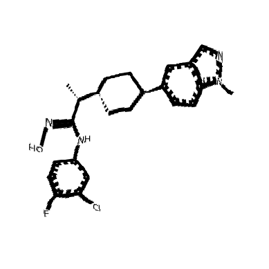 C[C@@H](/C(=N/O)Nc1ccc(F)c(Cl)c1)[C@H]1CC[C@H](c2ccc3c(cnn3C)c2)CC1